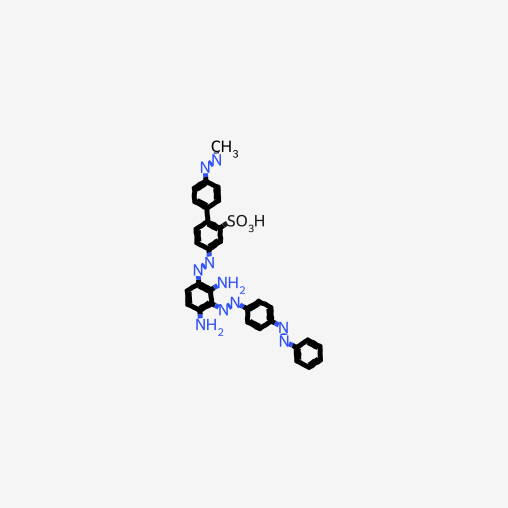 CN=Nc1ccc(-c2ccc(N=Nc3ccc(N)c(N=Nc4ccc(N=Nc5ccccc5)cc4)c3N)cc2S(=O)(=O)O)cc1